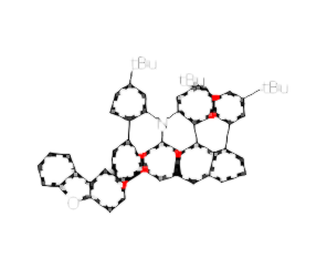 CC(C)(C)c1cc(-c2cccc3cccc(-c4ccccc4N(c4cccc(-c5ccc6oc7ccccc7c6c5)c4)c4cc(C(C)(C)C)ccc4-c4ccccc4)c23)cc(C(C)(C)C)c1